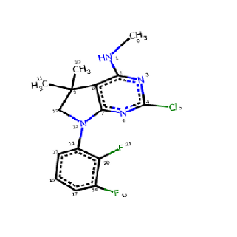 CNc1nc(Cl)nc2c1C(C)(C)CN2c1cccc(F)c1F